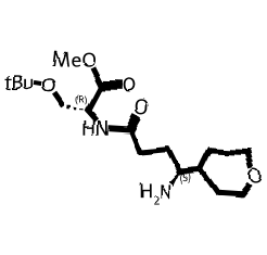 COC(=O)[C@@H](COC(C)(C)C)NC(=O)CC[C@H](N)C1CCOCC1